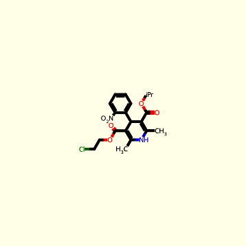 CC1=C(C(=O)OCCCl)C(c2ccccc2[N+](=O)[O-])C(C(=O)OC(C)C)=C(C)N1